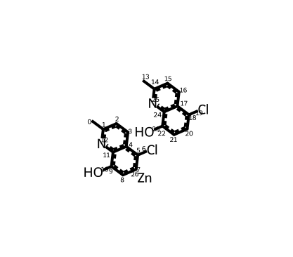 Cc1ccc2c(Cl)ccc(O)c2n1.Cc1ccc2c(Cl)ccc(O)c2n1.[Zn]